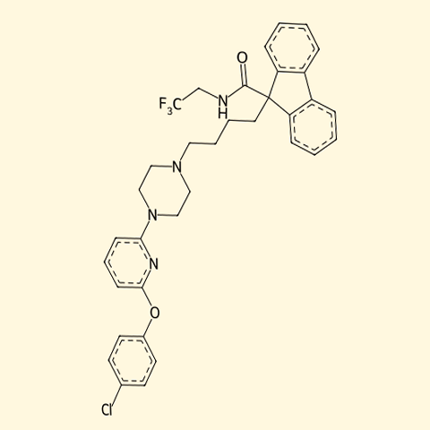 O=C(NCC(F)(F)F)C1(CCCCN2CCN(c3cccc(Oc4ccc(Cl)cc4)n3)CC2)c2ccccc2-c2ccccc21